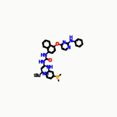 CP(C)c1cccc(N/C(=C\C(=N)C(C)(C)C)NC(=O)Nc2ccc(Oc3ccnc(Nc4ccccc4)n3)c3ccccc23)c1